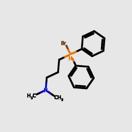 CN(C)CCC[PH](Br)(c1ccccc1)c1ccccc1